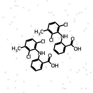 Cc1ccc(Cl)c(Nc2ccccc2C(=O)O)c1Cl.Cc1ccc(Cl)c(Nc2ccccc2C(=O)O)c1Cl